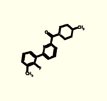 Cc1cccc(-c2cccc(C(=O)N3CCC(C)CC3)n2)c1F